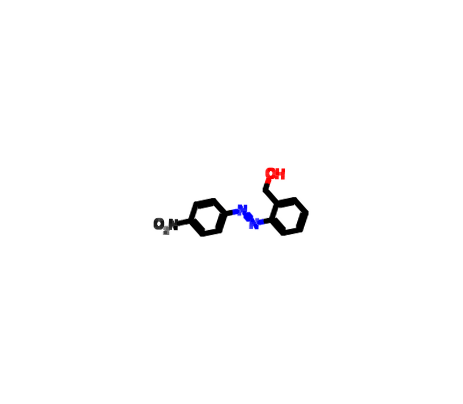 O=[N+]([O-])c1ccc(N=Nc2ccccc2CO)cc1